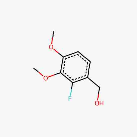 COc1ccc(CO)c(F)c1OC